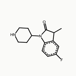 CC1C(=O)N(C2CCNCC2)c2ccc(F)cc21